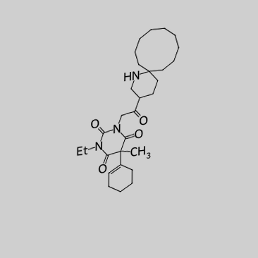 CCN1C(=O)N(CC(=O)C2CCC3(CCCCCCCCC3)NC2)C(=O)C(C)(C2=CCCCC2)C1=O